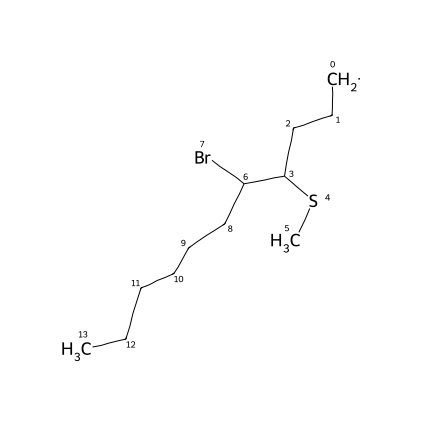 [CH2]CCC(SC)C(Br)CCCCCC